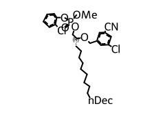 CCCCCCCCCCCCCCCCCCC[C@H](COP(=O)(OC)Oc1ccccc1Cl)OCc1cc(Cl)cc(C#N)c1